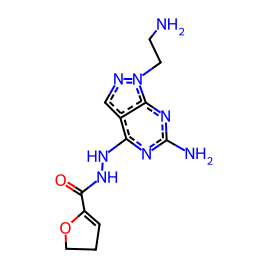 NCCn1ncc2c(NNC(=O)C3=CCCO3)nc(N)nc21